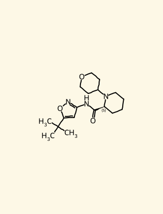 CC(C)(C)c1cc(NC(=O)[C@@H]2CCCCN2C2CCOCC2)no1